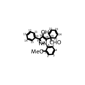 COc1ccccc1-n1nc(-c2ccccc2)c(O)c1C1(C=O)C=CC=CC1